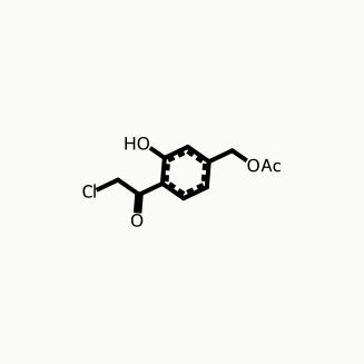 CC(=O)OCc1ccc(C(=O)CCl)c(O)c1